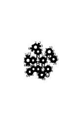 CC1(C)CCC(C)(C)c2cc(N3c4cc5c(cc4B4c6c3cc(N3c7ccccc7C7(C)CCCCC37C)cc6N(c3cccc6oc7ccccc7c36)c3ccc6c(c34)Cc3ccccc3-6)C(C)(C)CCC5(C)C)ccc21